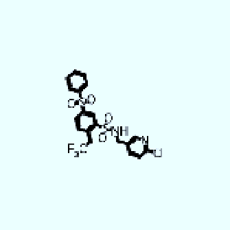 O=S(=O)(NCc1ccc(Cl)nc1)c1cc(S(=O)(=O)c2ccccc2)ccc1CC(F)(F)F